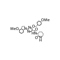 COc1ccc(COc2nc(N3CCc4c(OC)cccc43)ncc2C(=O)NC2CCCCNC2=O)cc1